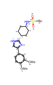 COc1ccc(-c2c[nH]c([C@H]3CC[C@H](NS(=O)(=O)C(C)(C)C)CC3)n2)cc1OC